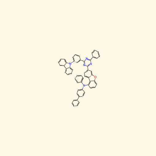 c1ccc(-c2ccc(N(c3ccccc3)c3cccc4oc5cc(-c6nc(-c7ccccc7)nc(-c7cccc(-n8c9ccccc9c9ccccc98)c7)n6)ccc5c34)cc2)cc1